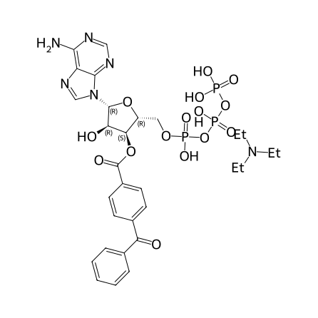 CCN(CC)CC.Nc1ncnc2c1ncn2[C@@H]1O[C@H](COP(=O)(O)OP(=O)(O)OP(=O)(O)O)[C@@H](OC(=O)c2ccc(C(=O)c3ccccc3)cc2)[C@H]1O